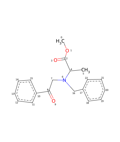 COC(=O)C(C)N(CC(=O)c1ccccc1)Cc1ccccc1